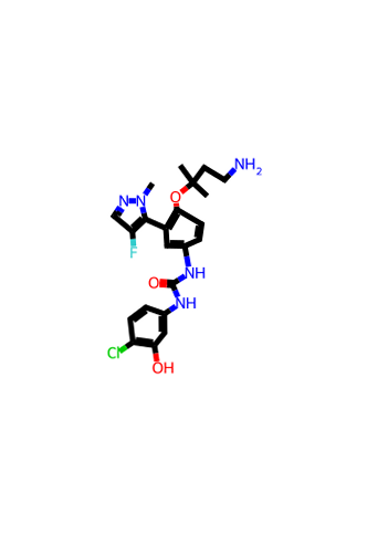 Cn1ncc(F)c1-c1cc(NC(=O)Nc2ccc(Cl)c(O)c2)ccc1OC(C)(C)CCN